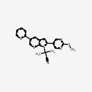 COc1ncc(-c2cc3cc(-c4ccccn4)cnc3n2C(C)(C)C#N)cn1